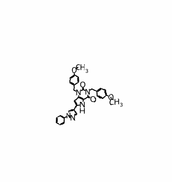 COc1ccc(Cn2c(=O)c3[nH]c(-c4cnn(-c5ccccc5)c4)cc3n(Cc3ccc(OC)cc3)c2=O)cc1